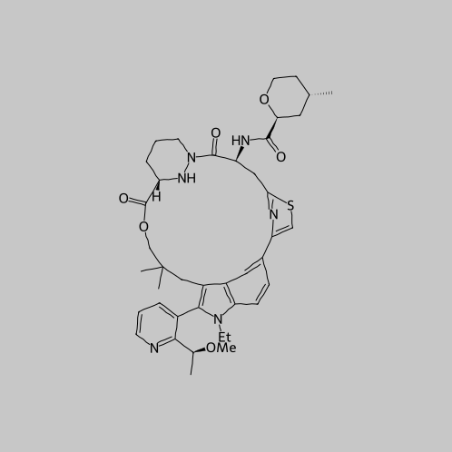 CCn1c(-c2cccnc2[C@H](C)OC)c2c3cc(ccc31)-c1csc(n1)C[C@H](NC(=O)[C@@H]1C[C@@H](C)CCO1)C(=O)N1CCC[C@H](N1)C(=O)OCC(C)(C)C2